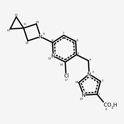 O=C(O)c1cn(Cc2ccc(N3CC4(CC4)C3)nc2Cl)cn1